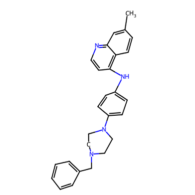 Cc1ccc2c(Nc3ccc(N4CCN(Cc5ccccc5)CC4)cc3)ccnc2c1